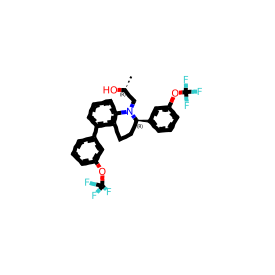 C[C@@H](O)CN1c2cccc(-c3cccc(OC(F)(F)F)c3)c2CC[C@@H]1c1cccc(OC(F)(F)F)c1